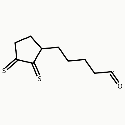 O=[C]CCCCC1CCC(=S)C1=S